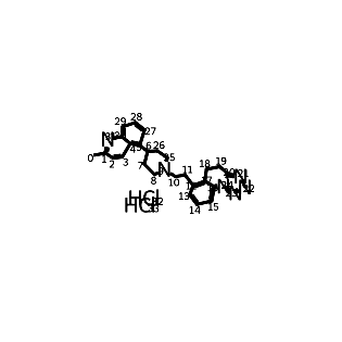 Cc1ccc2c(C3CCN(CCc4cccc5c4CCc4nnnn4-5)CC3)cccc2n1.Cl.Cl